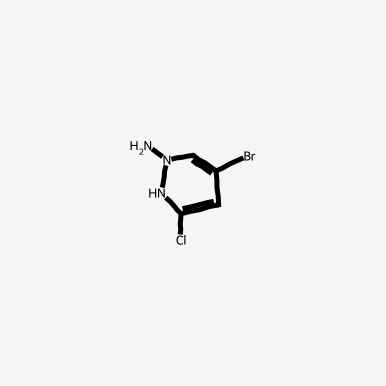 NN1C=C(Br)C=C(Cl)N1